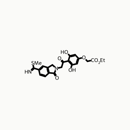 CCOC(=O)COc1cc(O)c(C(=O)CN2Cc3cc(C(=N)SC)ccc3C2=O)c(O)c1